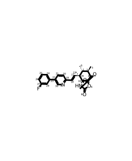 C[C@@H]1[C@@H](C)C[C@]23OC(=O)N[C@]2([C@@H](C)OC3=O)[C@H]1/C=C/c1ccc(-c2cccc(F)c2)cn1